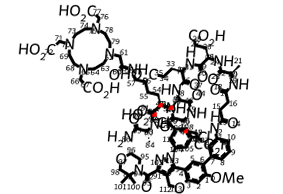 COc1cc2c(cc1-c1cccc(NC(=O)CCC(=O)N[C@H](C)C(=O)N[C@H](CCC(=O)O)C(=O)N[C@H](CCC(=O)O)C(=O)N[C@H](CCC(=O)O)C(=O)N[C@H](CCC(=O)O)C(=O)N[C@H](CCCCNC(=O)CN3CCN(CC(=O)O)CCN(CC(=O)O)CCN(CC(=O)O)CC3)C(=O)N[C@H](C)C(N)=O)c1)-c1c(c(C(=O)N3CCOCC3(C)C)nn1-c1cc(Cl)cc(Cl)c1)CO2